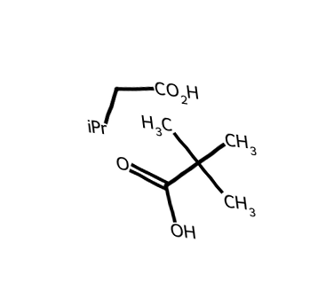 CC(C)(C)C(=O)O.CC(C)CC(=O)O